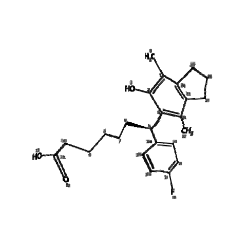 Cc1c(O)c([C@H](CCCCCC(=O)O)c2ccc(F)cc2)c(C)c2c1CCC2